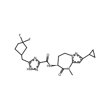 CN1C(=O)[C@@H](NC(=O)c2n[nH]c(CC3CCC(F)(F)C3)n2)CCn2nc(C3CC3)cc21